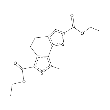 CCOC(=O)c1cc2c(s1)-c1c(C)sc(C(=O)OCC)c1CC2